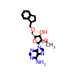 CO[C@@H]1[C@H](O)[C@@H](COCC2CCc3ccccc32)O[C@H]1n1cnc2c(N)ncnc21